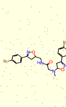 CN(CC(=O)NCC1CC(c2ccc(Br)cc2)=NO1)C1CC(c2ccc(Br)cc2)=NO1